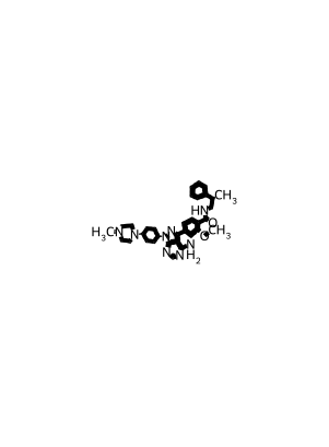 COc1cc(-c2nn([C@H]3CC[C@@H](N4CCN(C)CC4)CC3)c3ncnc(N)c23)ccc1C(=O)NC[C@H](C)c1ccccc1